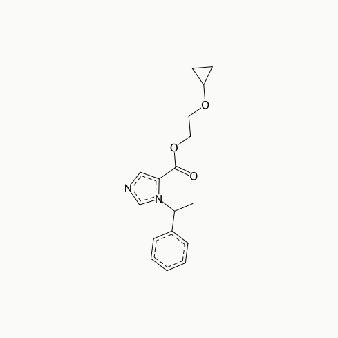 CC(c1ccccc1)n1cncc1C(=O)OCCOC1CC1